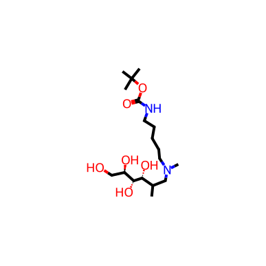 CC(CN(C)CCCCCNC(=O)OC(C)(C)C)[C@@H](O)[C@H](O)[C@H](O)CO